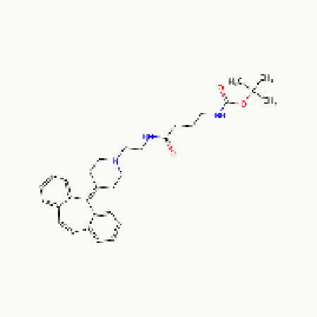 CC(C)(C)OC(=O)NCCCC(=O)NCCN1CCC(=C2c3ccccc3C=Cc3ccccc32)CC1